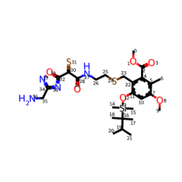 COC(=O)c1c(C)c(OC)cc(O[Si](C)(C)C(C)(C)C(C)C)c1CSCCNC(=O)C(=S)c1nc(CN)no1